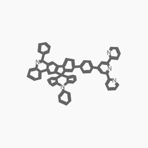 c1ccc(-c2nc3ccccc3c3cc4c(cc23)-c2ccc(-c3ccc(-c5cc(-c6ccccn6)nc(-c6ccccn6)c5)cc3)cc2C42c3ccccc3N(c3ccccc3)c3ccccc32)cc1